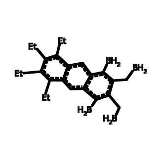 BCc1c(CB)c(B)c2cc3c(CC)c(CC)c(CC)c(CC)c3cc2c1B